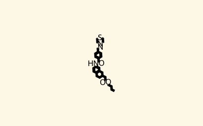 CCCCOC(=O)CC1CCc2ccc(NC(=O)c3ccc(/C=N/N4CCSCC4)cc3)cc2C1